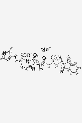 Cn1nnnc1SCC1=C(C(=O)[O-])N2C(=O)[C@@H](NC(=O)CCCC(C(=O)O)N3C(=O)c4ccccc4C3=O)[C@@H]2SC1.[Na+]